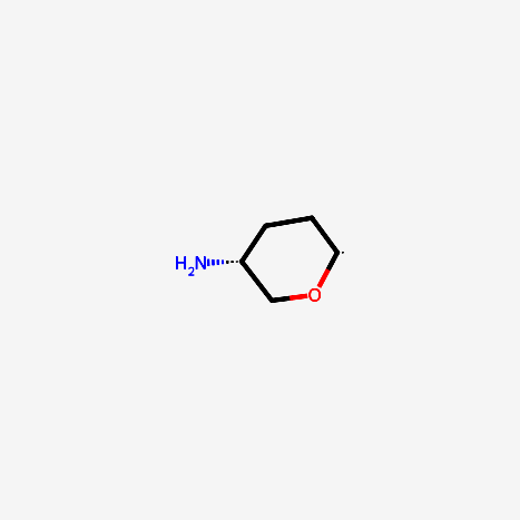 N[C@@H]1CC[CH]OC1